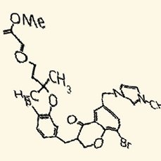 COC(=O)COCCC(C)(C)Oc1cc(CC2COc3c(Br)cc(CN4C=CN(C)C4)cc3C2=O)ccc1F